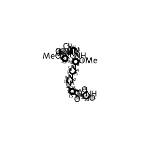 COc1cc(N2CCC(N3CCN(Cc4ccc5c(c4)CN(C4CCC(=O)NC4=O)C5=O)CC3)CC2)ccc1Nc1ncc(Cl)c(Nc2ccccc2P(=O)(OC)OC)n1